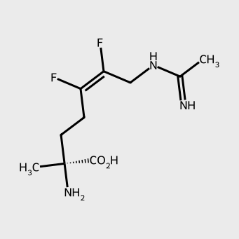 CC(=N)NC/C(F)=C(/F)CC[C@](C)(N)C(=O)O